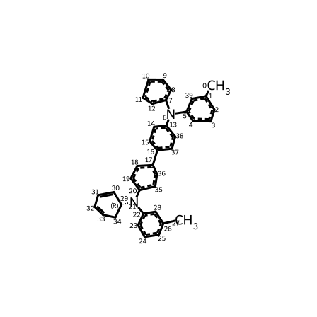 Cc1cccc(N(c2ccccc2)c2ccc(-c3ccc(N(c4cccc(C)c4)[C@H]4C=CC=CC4)cc3)cc2)c1